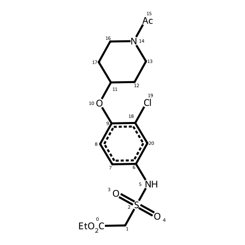 CCOC(=O)CS(=O)(=O)Nc1ccc(OC2CCN(C(C)=O)CC2)c(Cl)c1